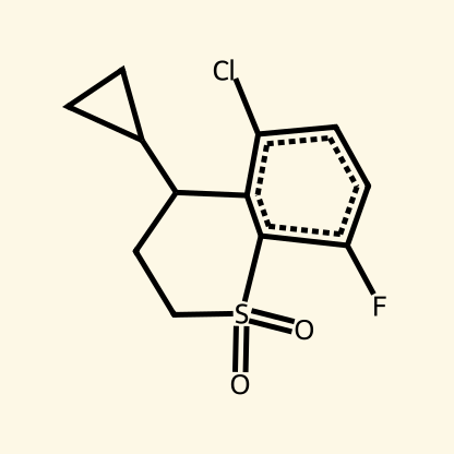 O=S1(=O)CCC(C2CC2)c2c(Cl)ccc(F)c21